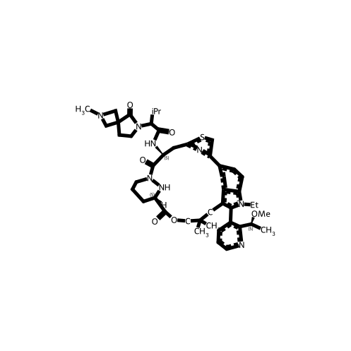 CCn1c(-c2cccnc2[C@H](C)OC)c2c3cc(ccc31)-c1csc(n1)C[C@H](NC(=O)C(C(C)C)N1CCC3(CN(C)C3)C1=O)C(=O)N1CCC[C@H](N1)C(=O)OCC(C)(C)C2